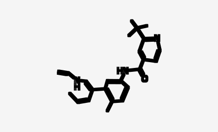 C=CN/C=C(\C=C/C)c1cc(NC(=O)c2ccnc(C(C)(C)C)c2)ccc1C